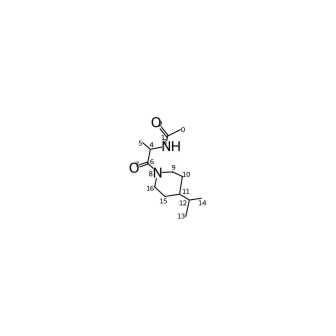 CC(=O)NC(C)C(=O)N1CCC(C(C)C)CC1